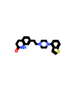 O=C1CCc2ccc(CCN3CCN(c4cccc5sccc45)CC3)cc2N1